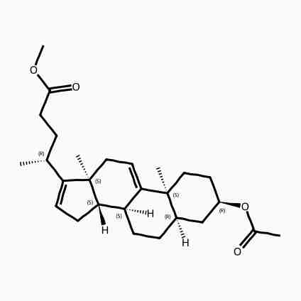 COC(=O)CC[C@@H](C)C1=CC[C@H]2[C@@H]3CC[C@@H]4C[C@H](OC(C)=O)CC[C@]4(C)C3=CC[C@]12C